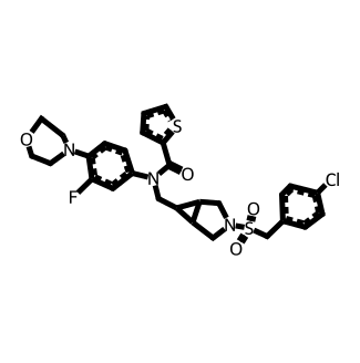 O=C(c1cccs1)N(CC1C2CN(S(=O)(=O)Cc3ccc(Cl)cc3)CC12)c1ccc(N2CCOCC2)c(F)c1